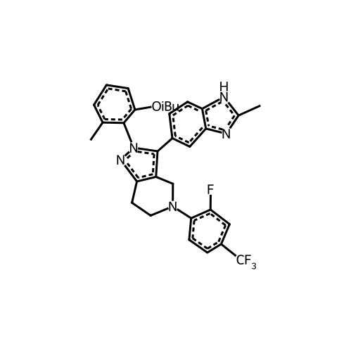 Cc1nc2cc(-c3c4c(nn3-c3c(C)cccc3OCC(C)C)CCN(c3ccc(C(F)(F)F)cc3F)C4)ccc2[nH]1